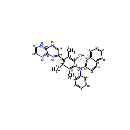 Cc1c(C)c(N(c2ccccc2)c2ccc3ccccc3c2)c(C)c(C)c1-c1cnc2nccnc2n1